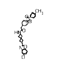 Cc1ccc(S(=O)(=O)N2CCC(CC(=O)NC3CC4(C3)CC(c3nc5cc(Cl)ccc5o3)C4)CC2)cc1